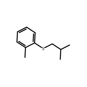 Cc1ccccc1SCC(C)C